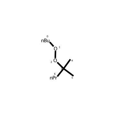 [CH2]CCCOOC(C)(C)CCC